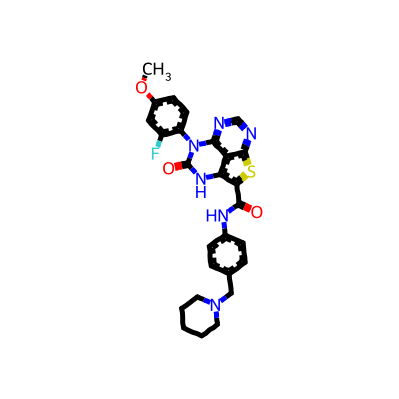 COc1ccc(N2C(=O)Nc3c(C(=O)Nc4ccc(CN5CCCCC5)cc4)sc4ncnc2c34)c(F)c1